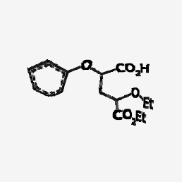 CCOC(=O)C(CC(Oc1ccccc1)C(=O)O)OCC